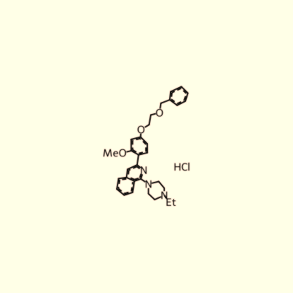 CCN1CCN(c2nc(-c3ccc(OCCOCc4ccccc4)cc3OC)cc3ccccc23)CC1.Cl